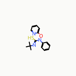 CC(C)(C)N=C(S)N(Oc1ccccn1)c1ccccc1